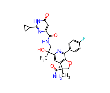 C[C@]1(C(N)=O)COc2c1cc(C(O)(CNC(=O)c1cc(=O)[nH]c(C3CC3)n1)C(F)(F)F)nc2-c1ccc(F)cc1